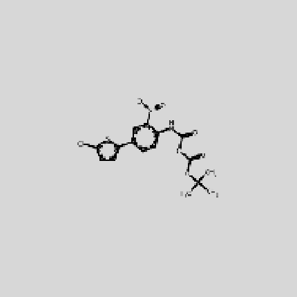 CC(C)(C)OC(=O)OC(=O)Nc1ccc(-c2ccc(Cl)s2)cc1[N+](=O)[O-]